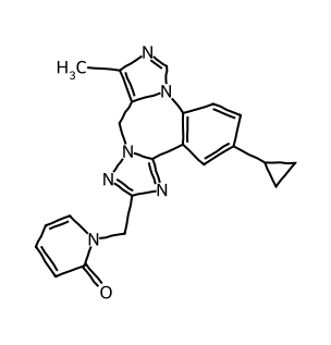 Cc1ncn2c1Cn1nc(Cn3ccccc3=O)nc1-c1cc(C3CC3)ccc1-2